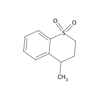 CC1CCS(=O)(=O)c2ccccc21